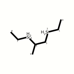 CC[SiH2]CC(C)[SiH2]CC